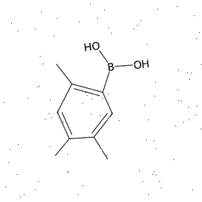 Cc1cc(C)c(B(O)O)cc1C